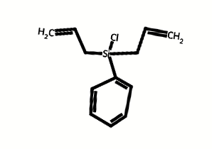 C=CC[Si](Cl)(CC=C)c1ccccc1